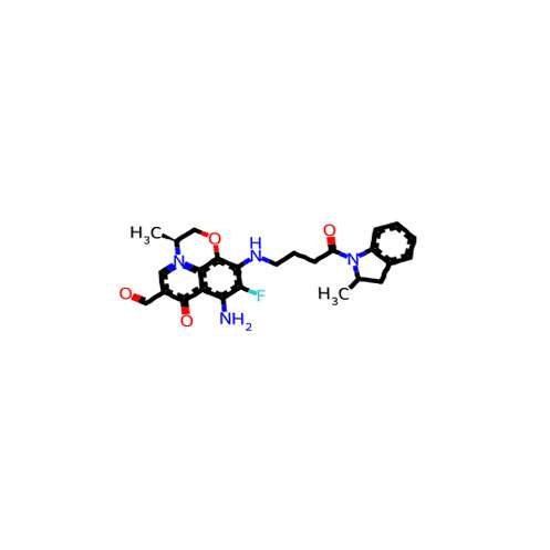 CC1Cc2ccccc2N1C(=O)CCCNc1c(F)c(N)c2c(=O)c(C=O)cn3c2c1OC[C@@H]3C